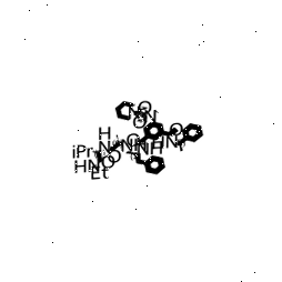 CCNC(=O)[C@@H](NC(=O)[C@H](C)NC[C@H](Cc1ccccc1)NC(=O)c1cc(C(=O)N[C@H](C)c2ccccc2)cc(N(C)S(=O)(=O)N2CCCCC2)c1)C(C)C